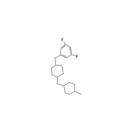 CC1CCC(CC2CCC(Cc3cc(F)cc(F)c3)CC2)CC1